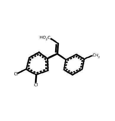 Cc1cccc(C(=CC(=O)O)c2ccc(Cl)c(Cl)c2)c1